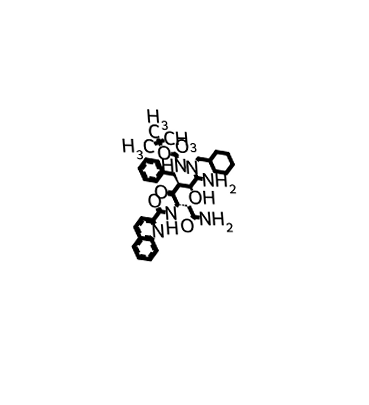 CC(C)(C)OC(=O)NN(CC1CCCCC1)C(N)[C@@H](O)[C@H](Cc1ccccc1)C(=O)[C@H](CC(N)=O)NC(=O)c1ccc2ccccc2n1